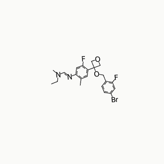 CCN(C)C=Nc1cc(F)c(C2(OCc3ccc(Br)cc3F)COC2)cc1C